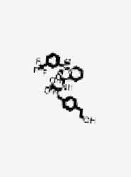 O=C(O)[C@H](Cc1ccc(CCO)cc1)NC(=O)[C@@H]1CCCCN1S(=O)(=O)c1cccc(C(F)(F)F)c1